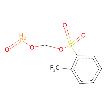 O=[PH2]OCOS(=O)(=O)c1ccccc1C(F)(F)F